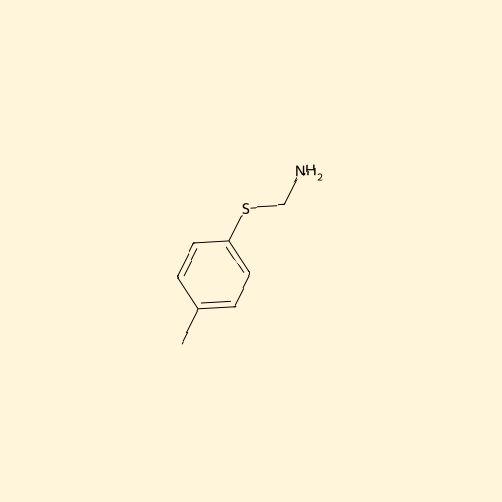 Cc1ccc(SCN)cc1